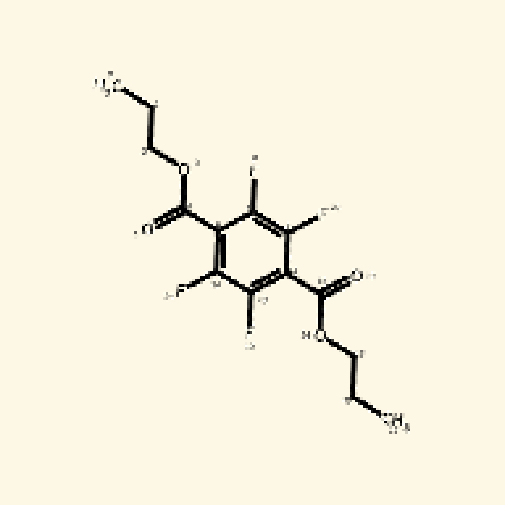 CCCOC(=O)c1c(F)c(F)c(C(=O)OCCC)c(F)c1F